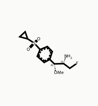 CO[C@H](c1ccc(S(=O)(=O)C2CC2)cc1)[C@H](N)CF